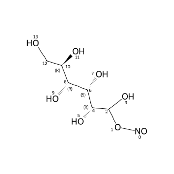 O=NOC(O)[C@H](O)[C@@H](O)[C@H](O)[C@H](O)CO